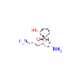 C=O.NCCCCCCN.Oc1ccccc1